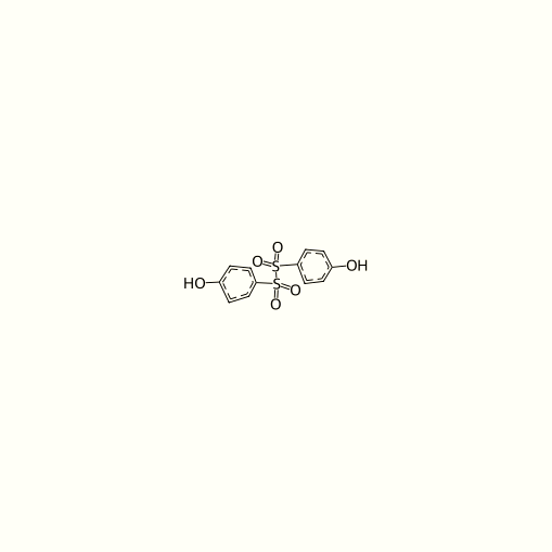 O=S(=O)(c1ccc(O)cc1)S(=O)(=O)c1ccc(O)cc1